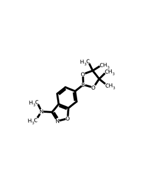 CN(C)c1noc2cc(B3OC(C)(C)C(C)(C)O3)ccc12